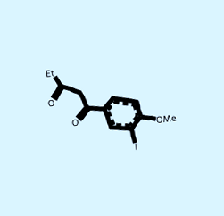 CCC(=O)CC(=O)c1ccc(OC)c(I)c1